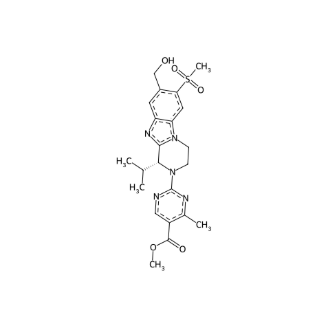 COC(=O)c1cnc(N2CCn3c(nc4cc(CO)c(S(C)(=O)=O)cc43)[C@H]2C(C)C)nc1C